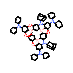 c1ccc(N(c2ccccc2)c2cc3c4c(c2)Oc2cc5c(cc2B4c2ccccc2O3)B2c3cc4c(cc3Oc3cc(N(c6ccccc6)c6ccccc6)cc(c32)N5C23CC5CC(CC(C5)C2)C3)N(C23CC5CC(CC(C5)C2)C3)c2cc(N(c3ccccc3)c3ccccc3)cc3c2B4c2ccccc2O3)cc1